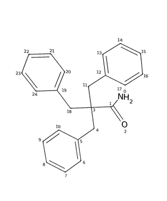 NC(=O)C(Cc1ccccc1)(Cc1ccccc1)Cc1ccccc1